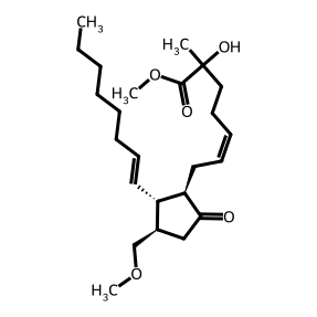 CCCCCC/C=C/[C@H]1[C@H](COC)CC(=O)[C@@H]1C/C=C\CCC(C)(O)C(=O)OC